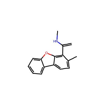 C=C(NC)c1c(C)ccc2c1oc1ccccc12